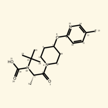 C[C@@H](C(=O)N1CCC(Oc2ccc(F)cn2)CC1)N(C(=O)O)C(C)(C)C